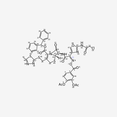 CC(=O)Oc1ccc(C(=O)O/N=C(\C(=O)N[C@@H]2C(=O)N3C(C(=O)OC(c4ccccc4)c4ccccc4)=C(CSc4nnc(C)s4)CS[C@@H]23)c2coc(NC(=O)CCl)n2)cc1OC(C)=O